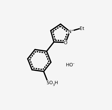 CC[n+]1ccc(-c2cccc(S(=O)(=O)O)c2)o1.[OH-]